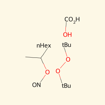 CC(C)(C)OOC(C)(C)C.CCCCCCC(C)ON=O.O=C(O)O